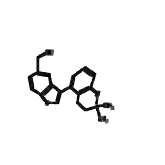 CC1(C)CCc2c(cccc2-c2csc3ccc(CO)cc23)O1